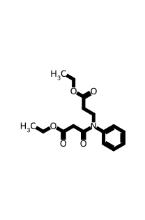 CCOC(=O)CCN(C(=O)CC(=O)OCC)c1ccccc1